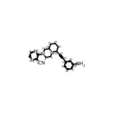 N#Cc1nccnc1N1CCN2C(C#Cc3cccc(N)c3)CCCC2C1